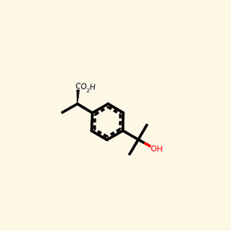 C[C@@H](C(=O)O)c1ccc(C(C)(C)O)cc1